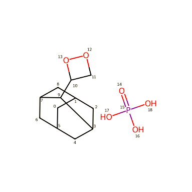 C1C2CC3CC1CC(C2)C3C1COO1.O=P(O)(O)O